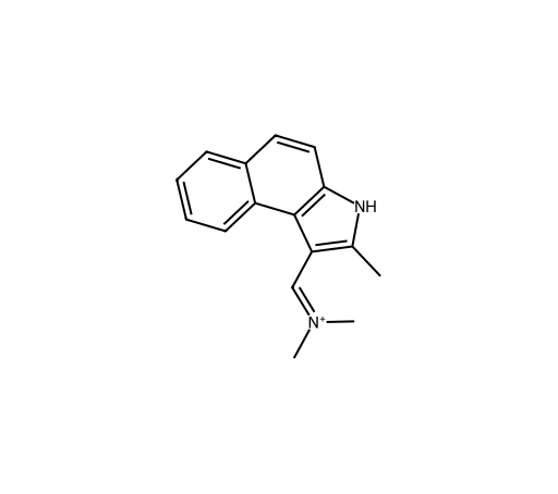 Cc1[nH]c2ccc3ccccc3c2c1C=[N+](C)C